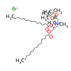 CCCCCCCCCCCCCC(=O)OCC(C[N+](C)(C)CB1OC(C)(C)C(C)(C)O1)OC(=O)CCCCCCCCCCCCC.[Br-]